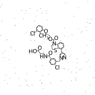 Cc1c(Cl)cccc1OCCOC(=O)N1CCSc2c(-c3cnn(Cc4cc(C(=O)NCCC(=O)O)ccc4Cl)c3)cccc21